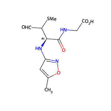 CSC(C=O)[C@H](Nc1cc(C)on1)C(=O)NCC(=O)O